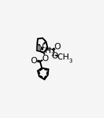 COC(=O)[C@H]1C(OC(=O)c2ccccc2)CC2CCC1N2C